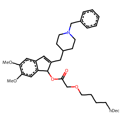 CCCCCCCCCCCCCCOCC(=O)OC1C(CC2CCN(Cc3ccccc3)CC2)=Cc2cc(OC)c(OC)cc21